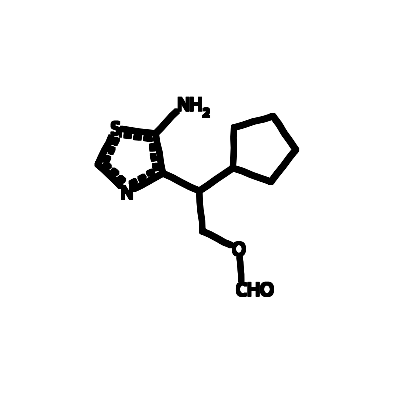 Nc1scnc1C(COC=O)C1CCCC1